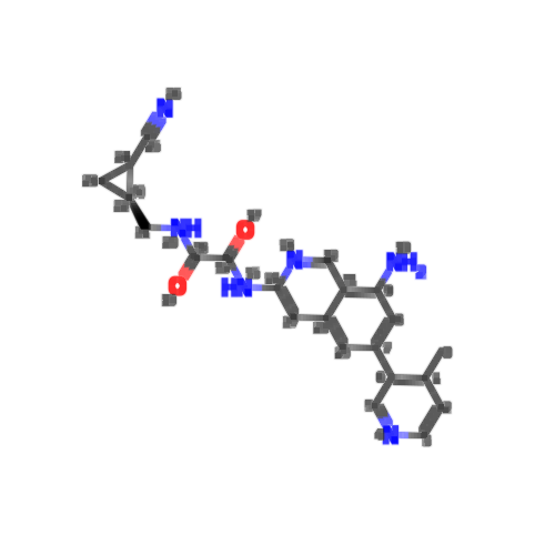 Cc1ccncc1-c1cc(N)c2cnc(NC(=O)C(=O)NC[C@H]3CC3C#N)cc2c1